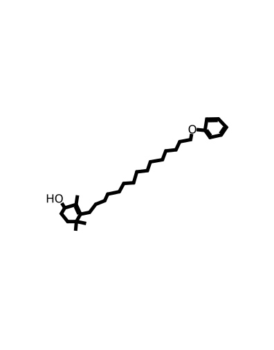 CC1=C(CCCCCCCCCCCCCCCOc2ccccc2)C(C)(C)CCC1O